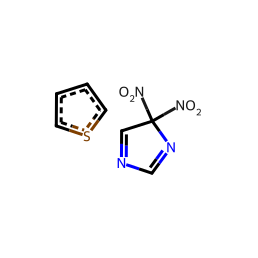 O=[N+]([O-])C1([N+](=O)[O-])C=NC=N1.c1ccsc1